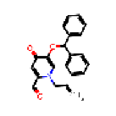 C=CCn1cc(OC(c2ccccc2)c2ccccc2)c(=O)cc1C=O